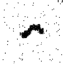 Cc1cc(C(=O)NCc2ncccc2C)ccc1-c1cccc(COc2ccc(Cn3oc(=O)[nH]c3=O)cc2)c1